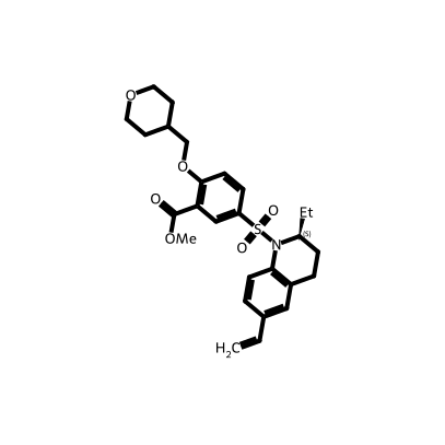 C=Cc1ccc2c(c1)CC[C@H](CC)N2S(=O)(=O)c1ccc(OCC2CCOCC2)c(C(=O)OC)c1